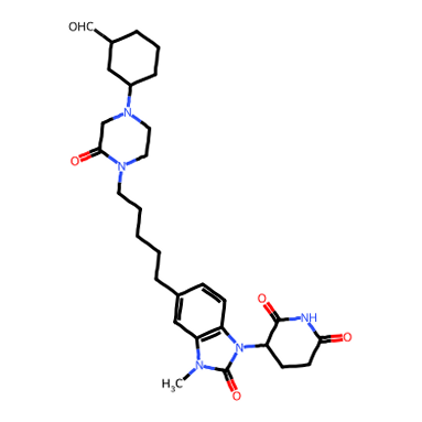 Cn1c(=O)n(C2CCC(=O)NC2=O)c2ccc(CCCCCN3CCN(C4CCCC(C=O)C4)CC3=O)cc21